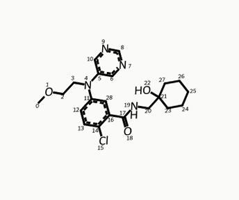 COCCN(c1cncnc1)c1ccc(Cl)c(C(=O)NCC2(O)CCCCC2)c1